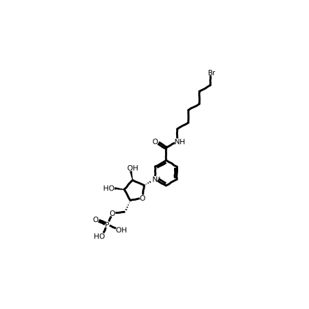 O=C(NCCCCCCBr)c1ccc[n+]([C@@H]2O[C@H](COP(=O)(O)O)[C@@H](O)[C@H]2O)c1